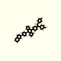 Cc1ccc(-c2sc3cc(-c4c5ccccc5c(-c5ccc(-c6ccc7ccccc7c6)cc5)c5ccccc45)ccc3c2-c2ccc(C)cc2)cc1